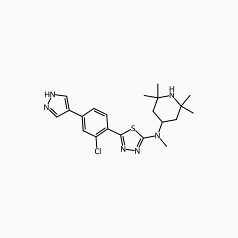 CN(c1nnc(-c2ccc(-c3cn[nH]c3)cc2Cl)s1)C1CC(C)(C)NC(C)(C)C1